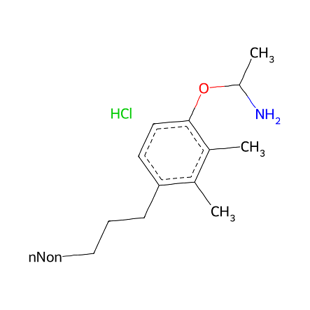 CCCCCCCCCCCCc1ccc(OC(C)N)c(C)c1C.Cl